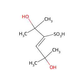 CC(C)(O)/C=C(/C(C)(C)O)S(=O)(=O)O